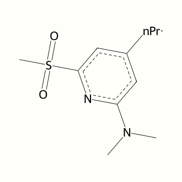 CC[CH]c1cc(N(C)C)nc(S(C)(=O)=O)c1